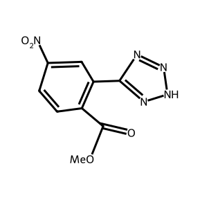 COC(=O)c1ccc([N+](=O)[O-])cc1-c1nn[nH]n1